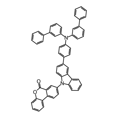 O=c1oc2ccccc2c2ccc(-n3c4ccccc4c4cc(-c5ccc(N(c6cccc(-c7ccccc7)c6)c6cccc(-c7ccccc7)c6)cc5)ccc43)cc12